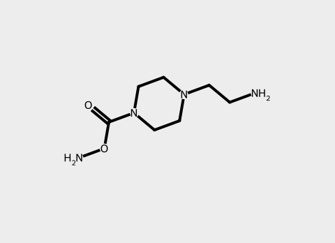 NCCN1CCN(C(=O)ON)CC1